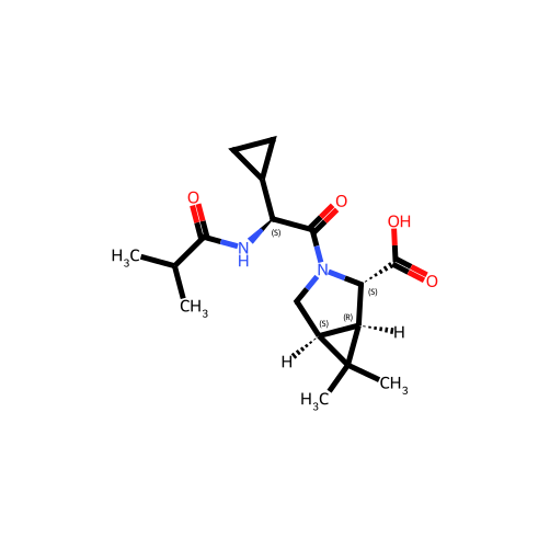 CC(C)C(=O)N[C@H](C(=O)N1C[C@H]2[C@@H]([C@H]1C(=O)O)C2(C)C)C1CC1